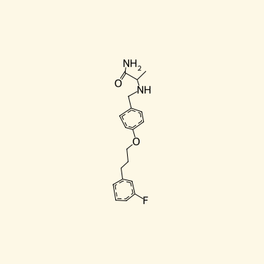 CC(NCc1ccc(OCCCc2cccc(F)c2)cc1)C(N)=O